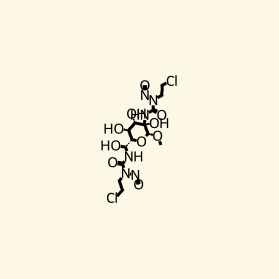 CO[C@H]1O[C@H](C(O)NC(=O)N(CCCl)N=O)[C@@H](O)[C@H](O)[C@]1(O)NC(=O)N(CCCl)N=O